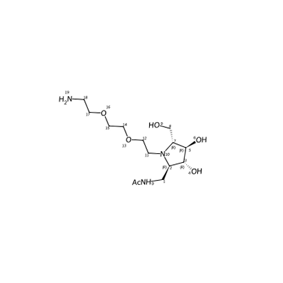 CC(=O)NC[C@@H]1[C@@H](O)[C@H](O)[C@@H](CO)N1CCOCCOCCN